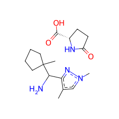 Cc1cn(C)nc1C(N)C1(C)CCCC1.O=C1CC[C@@H](C(=O)O)N1